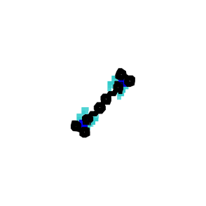 Fc1c(F)c(-n2c3ccccc3c3ccccc32)c(F)c(F)c1C=Cc1ccc(-c2ccc(C=Cc3c(F)c(F)c(-n4c5ccccc5c5ccccc54)c(F)c3F)cc2)cc1